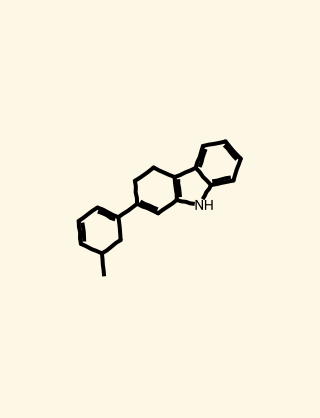 CC1C=CC=C(C2=Cc3[nH]c4ccccc4c3CC2)C1